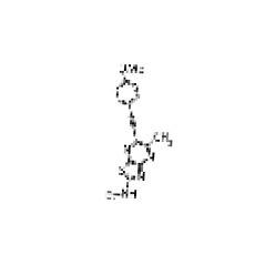 CCNc1nc2nc(C)c(C#Cc3ccc(OC)cc3)nc2s1